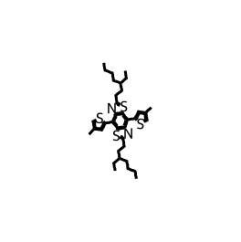 CCCCC(CC)CCc1nc2c(-c3cc(C)cs3)c3sc(CCC(CC)CCCC)nc3c(-c3cc(C)cs3)c2s1